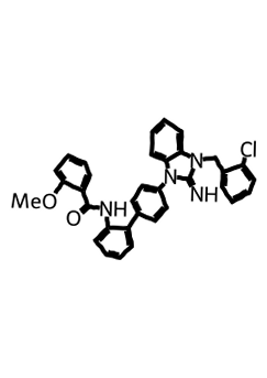 COc1ccccc1C(=O)Nc1ccccc1-c1ccc(-n2c(=N)n(Cc3ccccc3Cl)c3ccccc32)cc1